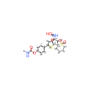 CNC(=O)Oc1ccc(-c2ccc([C@@]3(CC(=O)NO)CCCCS3(=O)=O)s2)cc1